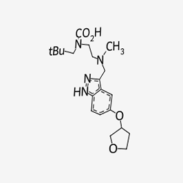 CN(CCN(CC(C)(C)C)C(=O)O)Cc1n[nH]c2ccc(OC3CCOC3)cc12